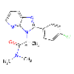 C[C@H](C(=O)N(C)C)n1c(-c2ccc(Cl)cc2)nc2cccnc21